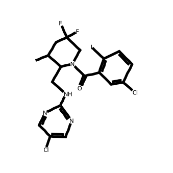 CC1CC(F)(F)CN(C(=O)c2cc(Cl)ccc2I)C1CNc1ncc(Cl)cn1